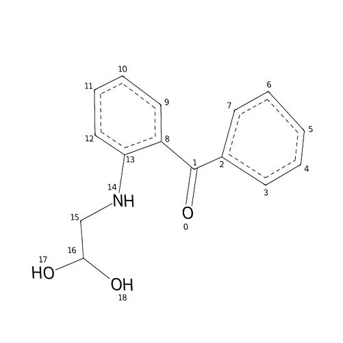 O=C(c1ccccc1)c1ccccc1NCC(O)O